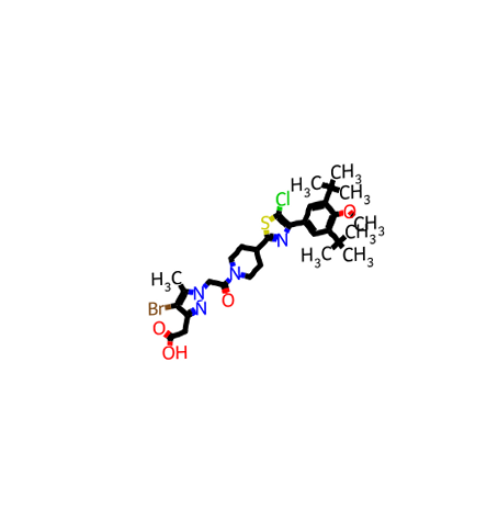 COc1c(C(C)(C)C)cc(-c2nc(C3CCN(C(=O)Cn4nc(CC(=O)O)c(Br)c4C)CC3)sc2Cl)cc1C(C)(C)C